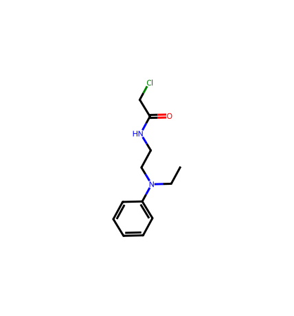 CCN(CCNC(=O)CCl)c1ccccc1